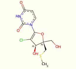 CSC[C@]1(CO)OC(n2ccc(=O)[nH]c2=O)=C(Cl)[C@@H]1O